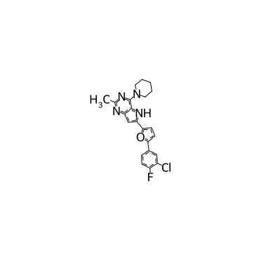 Cc1nc(N2CCCCC2)c2[nH]c(-c3ccc(-c4ccc(F)c(Cl)c4)o3)cc2n1